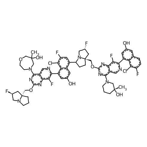 CC1(O)COCCN(c2nc(OC[C@]34CCCN3C[C@@H](F)C4)nc3c(F)c(-c4cc(O)cc5c(C6CC[C@@]7(COc8nc(N9CCC[C@@](C)(O)C9)c9cnc(-c%10cc(O)cc%11ccc(F)c(Cl)c%10%11)c(F)c9n8)C[C@@H](F)CN67)cc(F)c(Cl)c45)ncc23)C1